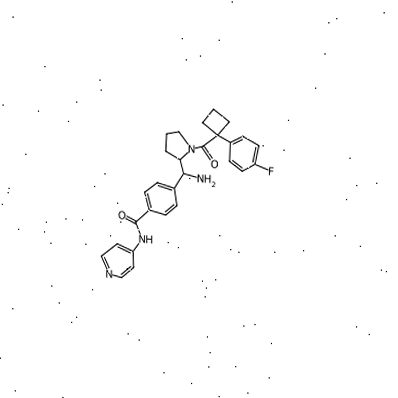 NC(c1ccc(C(=O)Nc2ccncc2)cc1)C1CCCN1C(=O)C1(c2ccc(F)cc2)CCC1